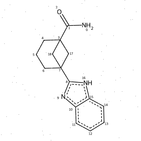 NC(=O)C12CCCC(c3nc4ccccc4[nH]3)(C1)C2